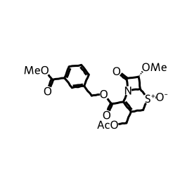 COC(=O)c1cccc(COC(=O)C2=C(COC(C)=O)C[S+]([O-])C3[C@@H](OC)C(=O)N23)c1